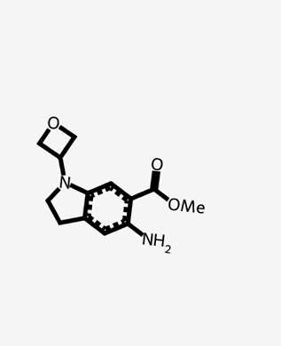 COC(=O)c1cc2c(cc1N)CCN2C1COC1